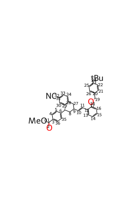 COC(=O)c1ccc(CCC(C=Cc2ccccc2OCc2ccc(C(C)(C)C)cc2)Cc2ccc(C#N)cc2)cc1